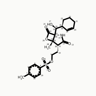 Cc1ccc(S(=O)(=O)OCC[C@H]2C(=O)N[C@@]3([C@@H](O)[C@@H]4C=CCCC4)C(=O)O[C@@]23C)cc1